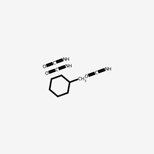 CC1CCCCC1.N=C=O.N=C=O.N=C=O